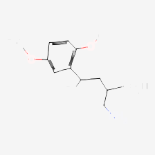 CCC(CC(CN)C(=O)O)c1cc(OC(F)(F)F)ccc1OC(F)(F)F